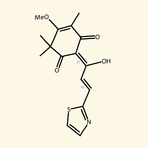 COC1=C(C)C(=O)/C(=C(O)/C=C/c2nccs2)C(=O)C1(C)C